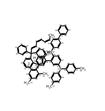 C\C=C/C=C\C=C\C1(c2ccccc2)/C(c2cc(-c3c(C)cc(C)cc3C)cc(-c3cc(N(c4ccc(C)cc4)c4ccc(C)cc4)ccc3Nc3ccc(-c4ccccc4)cc3)c2C)=C/C=C\C(C)=C\Nc2ccccc21